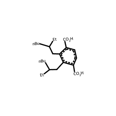 CCCCC(CC)Cc1c(C(=O)O)ccc(C(=O)O)c1CC(CC)CCCC